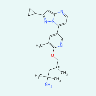 Cc1cc(-c2ccnc3cc(C4CC4)nn23)cnc1OC[C@H](C)CC(C)(C)N